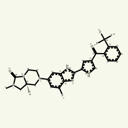 CN1C[C@@H]2CN(c3cc(F)c4nc(-c5cc(C(=O)c6ccccc6C(F)(F)F)c[nH]5)[nH]c4c3)CCN2C1=O